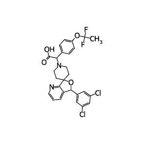 CC(F)(F)Oc1ccc(C(C(=O)O)N2CCC3(CC2)OC(c2cc(Cl)cc(Cl)c2)c2cccnc23)cc1